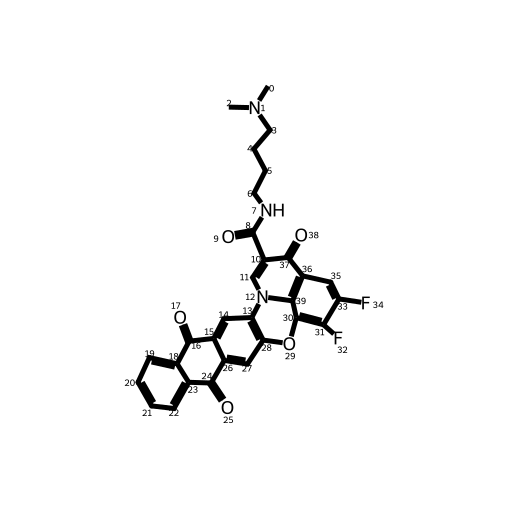 CN(C)CCCCNC(=O)c1cn2c3cc4c(=O)c5ccccc5c(=O)c4cc3oc3c(F)c(F)cc(c1=O)c32